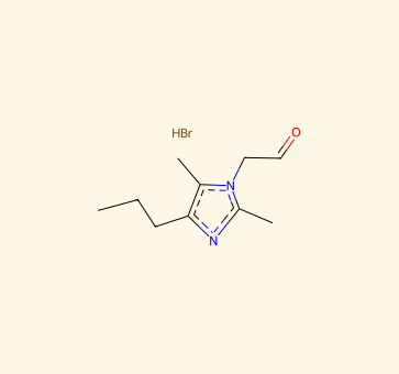 Br.CCCc1nc(C)n(CC=O)c1C